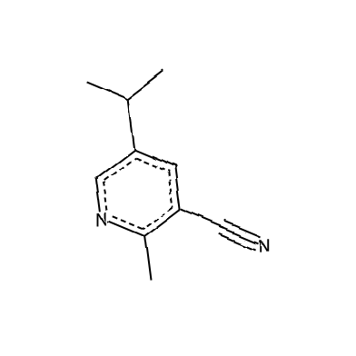 Cc1ncc(C(C)C)cc1C#N